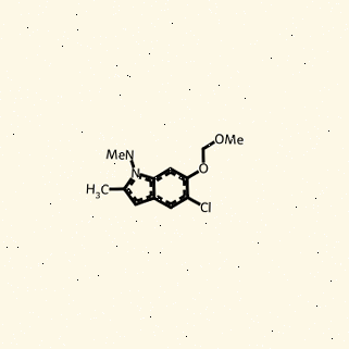 CNn1c(C)cc2cc(Cl)c(OCOC)cc21